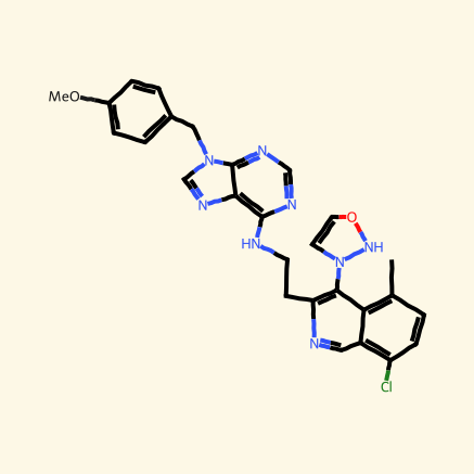 COc1ccc(Cn2cnc3c(NCCc4ncc5c(Cl)ccc(C)c5c4N4C=CON4)ncnc32)cc1